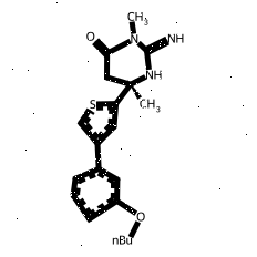 CCCCOc1cccc(-c2csc([C@]3(C)CC(=O)N(C)C(=N)N3)c2)c1